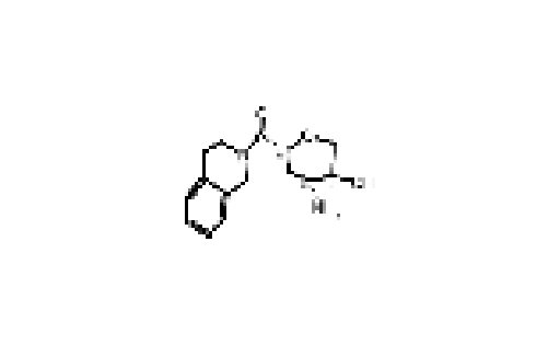 N[C@@H]1C[C@H](C(=O)N2CCc3ccccc3C2)OC[C@H]1O